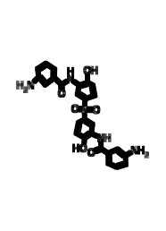 Nc1cccc(C(=O)Nc2cc(S(=O)(=O)c3ccc(O)c(NC(=O)c4cccc(N)c4)c3)ccc2O)c1